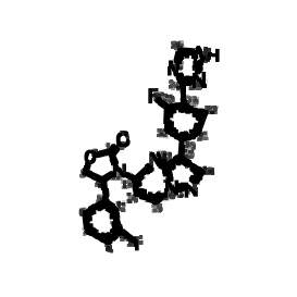 O=C1OCC(c2cccc(F)c2)N1c1ccn2ncc(-c3ccc(-c4nc[nH]n4)c(F)c3)c2n1